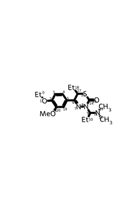 CCOc1ccc(C2=NN(C(CC)N(C)C)C(=O)SC2CC)cc1OC